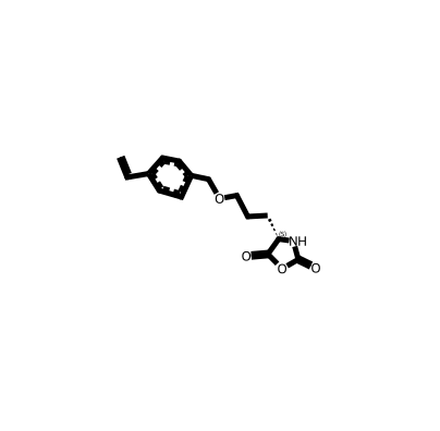 C=Cc1ccc(COCCC[C@@H]2NC(=O)OC2=O)cc1